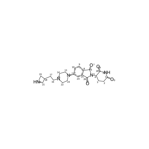 O=C1CCC(N2C(=O)c3ccc(N4CCN(CCC5CNC5)CC4)cc3C2=O)C(=O)N1